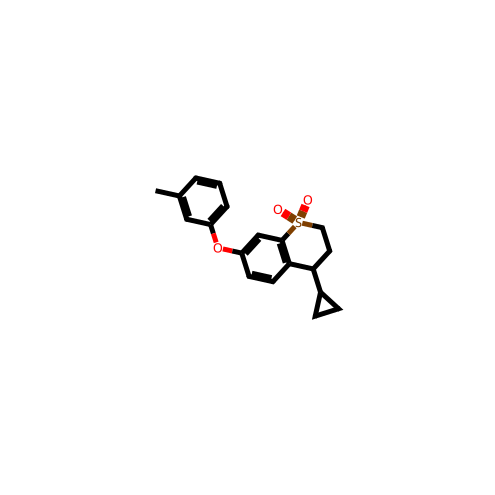 Cc1cccc(Oc2ccc3c(c2)S(=O)(=O)CCC3C2CC2)c1